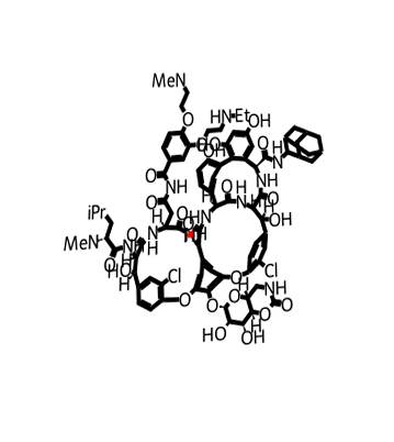 CCNCCOc1cc(C(=O)NC(=O)C[C@@H]2NC(=O)[C@H](NC(=O)[C@@H](CC(C)C)NC)[C@H](O)c3ccc(c(Cl)c3)Oc3cc4cc(c3O[C@@H]3O[C@@H]5CNC(=O)O[C@H]5[C@H](O)[C@H]3O)Oc3ccc(cc3Cl)[C@@H](O)[C@@H]3NC(=O)[C@H](NC(=O)[C@@H]4NC2=O)c2ccc(O)c(c2)-c2c(O)cc(O)cc2[C@@H](C(=O)NC2C4CC5CC(C4)CC2C5)NC3=O)ccc1OCCNC